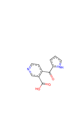 O=C(O)c1cnccc1C(=O)c1ccc[nH]1